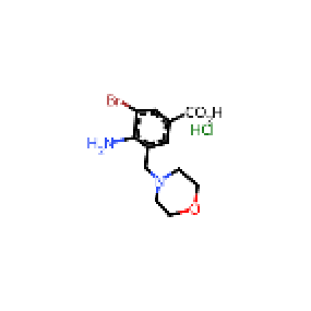 Cl.Nc1c(Br)cc(C(=O)O)cc1CN1CCOCC1